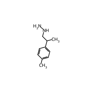 Cc1ccc(C(C)CNN)cc1